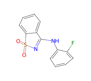 O=S1(=O)N=C(Nc2ccccc2F)c2ccccc21